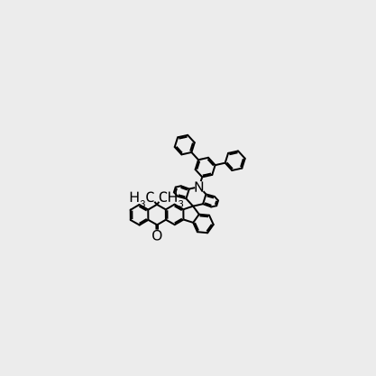 CC1(C)c2ccccc2C(=O)c2cc3c(cc21)C1(c2ccccc2-3)c2ccccc2N(c2cc(-c3ccccc3)cc(-c3ccccc3)c2)c2ccccc21